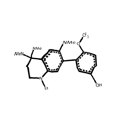 CCN1CCC(NC)(NC)c2cc(NC)c(-c3cc(O)ccc3OC(F)(F)F)cc21